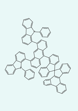 c1ccc(-p2c3ccccc3c3cccc(-c4cccc5c(-c6cccc7c6-c6ccccc6C76c7ccccc7-c7c6c6ccccc6c6ccccc76)c6cccc(-c7cccc8c9ccccc9p(-c9ccccc9)c78)c6cc45)c32)cc1